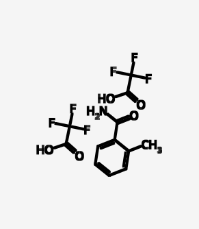 Cc1ccccc1C(N)=O.O=C(O)C(F)(F)F.O=C(O)C(F)(F)F